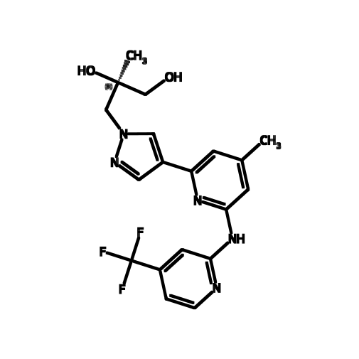 Cc1cc(Nc2cc(C(F)(F)F)ccn2)nc(-c2cnn(C[C@@](C)(O)CO)c2)c1